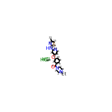 CCN1CCN(C(=O)c2cccc(Oc3ccnc(Nc4nc(C)cs4)c3)c2)CC1.Cl.Cl